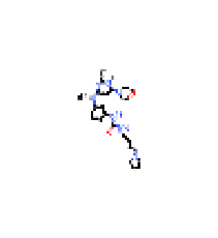 Cc1nc(N2CCOCC2)cc(N(C)c2cccc(NC(=O)NCCCCN3CCCC3)c2)n1